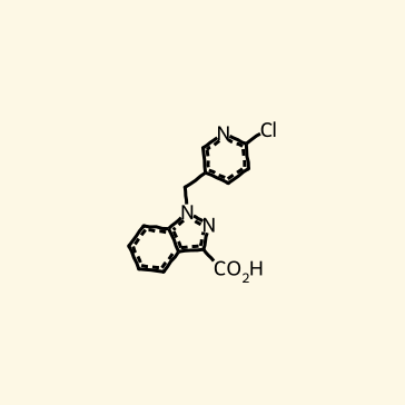 O=C(O)c1nn(Cc2ccc(Cl)nc2)c2ccccc12